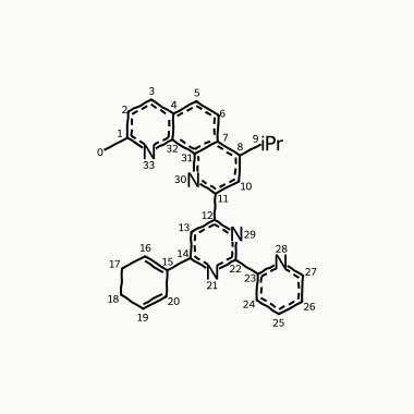 Cc1ccc2ccc3c(C(C)C)cc(-c4cc(C5=CCCC=C5)nc(-c5ccccn5)n4)nc3c2n1